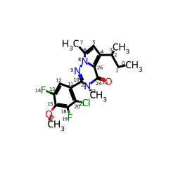 CCC(C)c1cc(C)n2nc(-c3cc(F)c(OC)c(F)c3Cl)n(C)c(=O)c12